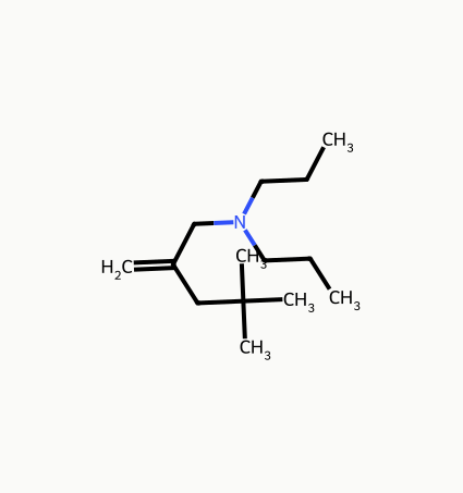 C=C(CN(CCC)CCC)CC(C)(C)C